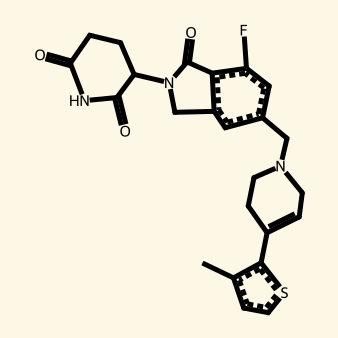 Cc1ccsc1C1=CCN(Cc2cc(F)c3c(c2)CN(C2CCC(=O)NC2=O)C3=O)CC1